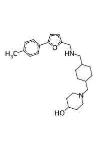 Cc1ccc(-c2ccc(CNCC3CCC(CN4CCC(O)CC4)CC3)o2)cc1